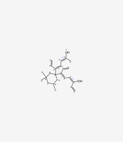 C=C/C(O)=C\C=C(/C=C)C1(/C(C=C)=C/C=C(\C)O)CC(C)CC(C)(C)C1